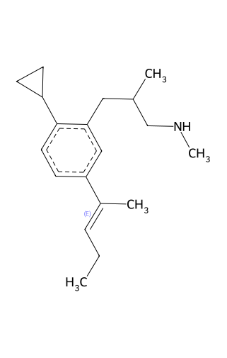 CC/C=C(\C)c1ccc(C2CC2)c(CC(C)CNC)c1